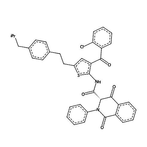 CC(C)Cc1ccc(CCc2cc(C(=O)c3ccccc3Cl)c(NC(=O)[C@@H]3C(=O)c4ccccc4C(=O)N3c3ccccc3)s2)cc1